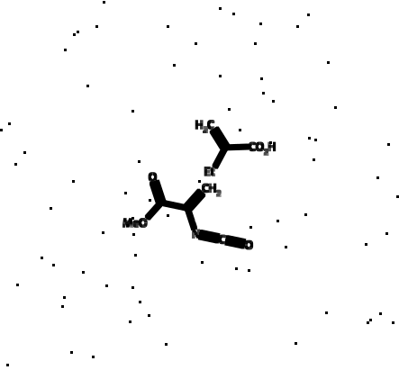 C=C(CC)C(=O)O.C=C(N=C=O)C(=O)OC